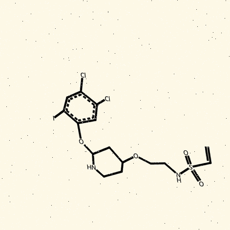 C=CS(=O)(=O)NCCOC1CCNC(Oc2cc(Cl)c(Cl)cc2I)C1